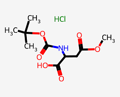 COC(=O)CC(NC(=O)OC(C)(C)C)C(=O)O.Cl